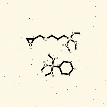 CO[Si](CCCOCC1CO1)(OC)OC.CO[Si](OC)(OC)C1CCCCC1